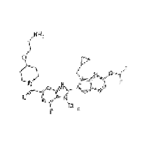 Cn1c(-c2cc3ccc(OC(F)F)nc3n2CC2CC2)nc2cc(C(=O)N3CCC(OCCN)CC3)cc(F)c21